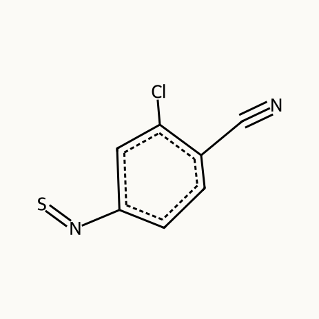 N#Cc1ccc(N=S)cc1Cl